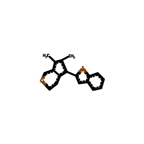 Cc1c2csccc-2c(-c2cc3ccccc3s2)c1C